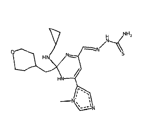 Cn1cncc1C1=CC(C=NNC(N)=S)=NC(CC2CCOCC2)(NC2CC2)N1